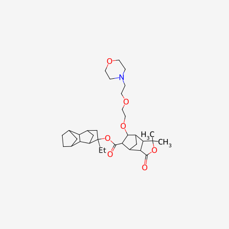 CCC1(OC(=O)C2C3CC(C2OCCOCCN2CCOCC2)C2C3C(=O)OC2(C)C)CC2CC1C1C3CCC(C3)C21